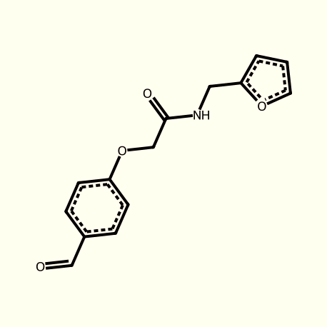 O=Cc1ccc(OCC(=O)NCc2ccco2)cc1